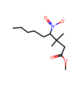 CCCCCC([N+](=O)[O-])C(C)(C)CC(=O)OC